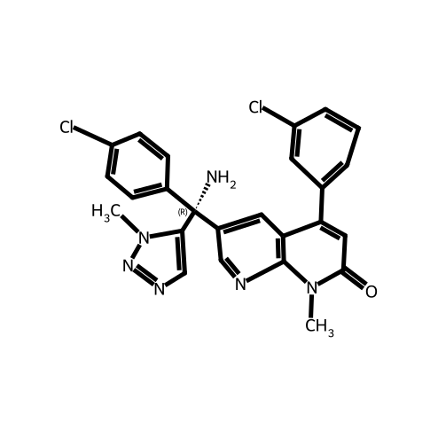 Cn1nncc1[C@@](N)(c1ccc(Cl)cc1)c1cnc2c(c1)c(-c1cccc(Cl)c1)cc(=O)n2C